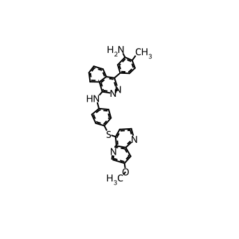 COc1cnc2c(Sc3ccc(Nc4nnc(-c5ccc(C)c(N)c5)c5ccccc45)cc3)ccnc2c1